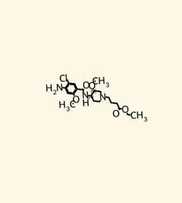 CCOC(=O)CCCN1CC[C@@H](NC(=O)c2cc(Cl)c(N)cc2OC)[C@H](OC)C1